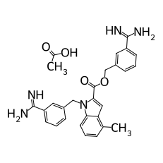 CC(=O)O.Cc1cccc2c1cc(C(=O)OCc1cccc(C(=N)N)c1)n2Cc1cccc(C(=N)N)c1